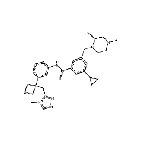 CC(C)[C@H]1CN(C)CCN1Cc1cc(C(=O)Nc2cccc(C3(Cc4nncn4C)COC3)c2)nc(C2CC2)c1